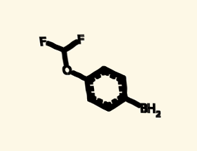 Bc1ccc(OC(F)F)cc1